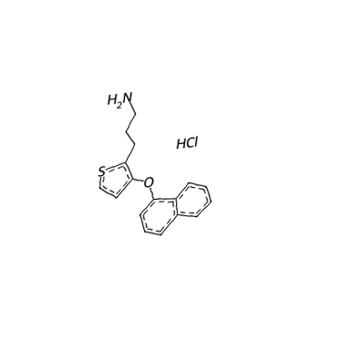 Cl.NCCCc1sccc1Oc1cccc2ccccc12